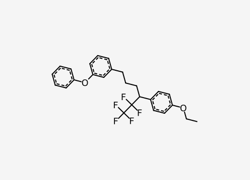 CCOc1ccc(C(CCCc2cccc(Oc3ccccc3)c2)C(F)(F)C(F)(F)F)cc1